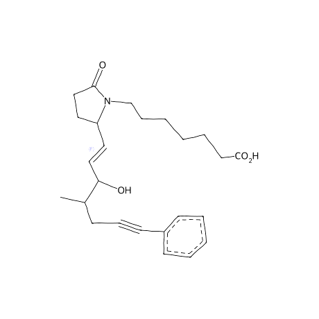 CC(CC#Cc1ccccc1)C(O)/C=C/C1CCC(=O)N1CCCCCCC(=O)O